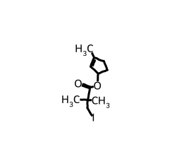 CC1=CC(OC(=O)C(C)(C)CI)CC1